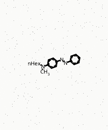 CCCCCCN(C)c1ccc(/N=N/c2ccccc2)cc1